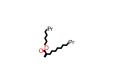 C=C(CCCCCCCC(C)C)C(=O)OCCCCCC(C)C